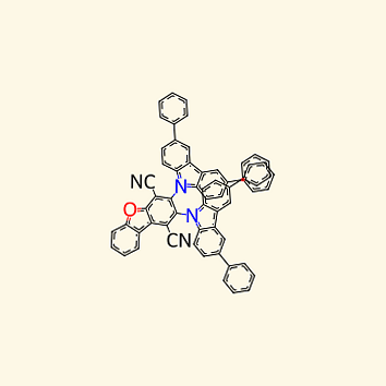 N#Cc1c(-n2c3ccc(-c4ccccc4)cc3c3cc(-c4ccccc4)ccc32)c(-n2c3ccc(-c4ccccc4)cc3c3cc(-c4ccccc4)ccc32)c(C#N)c2c1oc1ccccc12